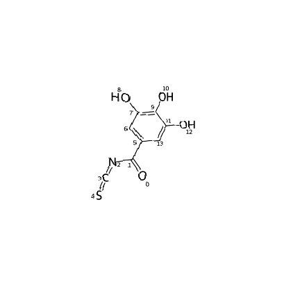 O=C(N=C=S)c1cc(O)c(O)c(O)c1